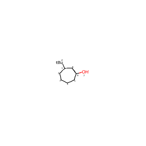 CC(C)(C)C1CCCCC(O)C1